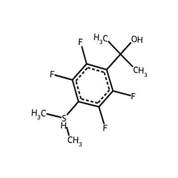 C[SH](C)c1c(F)c(F)c(C(C)(C)O)c(F)c1F